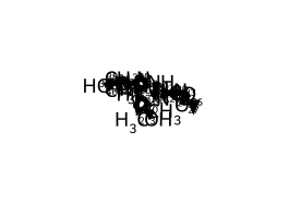 CC(C)(O)C1CCC(Nc2cc(Nc3ccnc(-c4cnn(S(=O)(=O)C5CC5)c4)n3)ncc2-c2ccc(C(C)(O)C(F)(F)F)cn2)CC1